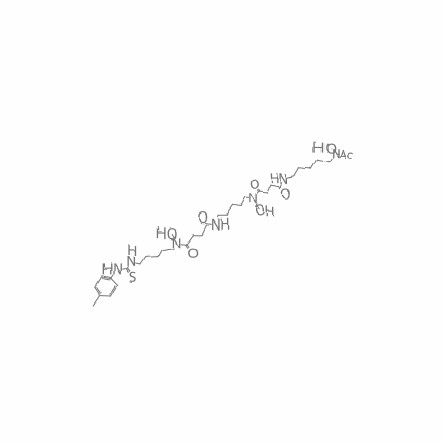 CC(=O)N(O)CCCCCNC(=O)CCC(=O)N(O)CCCCCNC(=O)CCC(=O)N(O)CCCCCNC(=S)Nc1ccc(C)cc1